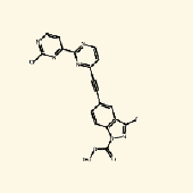 CC(C)(C)OC(=O)n1nc(F)c2cc(C#Cc3ccnc(-c4ccnc(Cl)n4)n3)ccc21